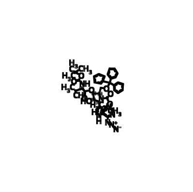 CC(C)[C@H](NC(=O)OC(C)(C)C)C(=O)O[C@H]1[C@@H](O)[C@H](c2c[nH]c3c(N=[N+]=[N-])ncnc23)N(C(=O)OC(C)(C)C)[C@@H]1COC(c1ccccc1)(c1ccccc1)c1ccccc1